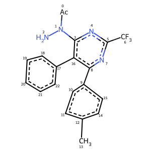 CC(=O)N(N)c1nc(C(F)(F)F)nc(-c2ccc(C)cc2)c1-c1ccccc1